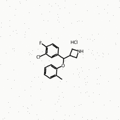 Cc1ccccc1OC(c1ccc(F)c(Cl)c1)C1CNC1.Cl